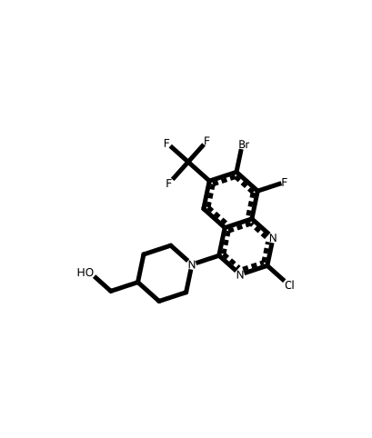 OCC1CCN(c2nc(Cl)nc3c(F)c(Br)c(C(F)(F)F)cc23)CC1